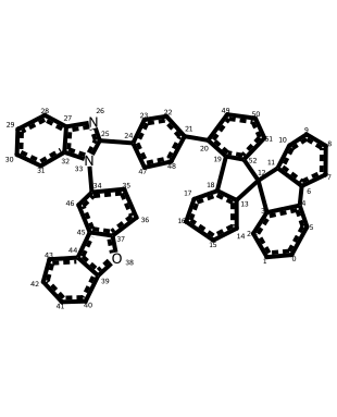 c1ccc2c(c1)-c1ccccc1C21c2ccccc2-c2c(-c3ccc(-c4nc5ccccc5n4-c4ccc5oc6ccccc6c5c4)cc3)cccc21